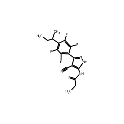 CCC(=O)Nc1[nH]nc(-c2c(F)c(F)c(C(C)CC)c(F)c2F)c1C#N